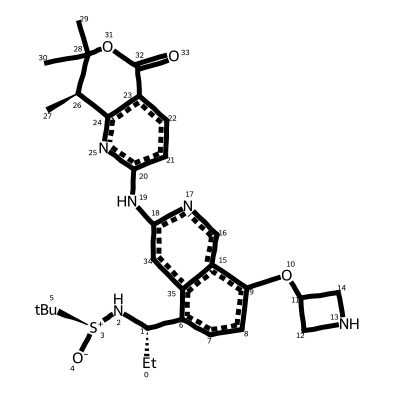 CC[C@H](N[S@@+]([O-])C(C)(C)C)c1ccc(OC2CNC2)c2cnc(Nc3ccc4c(n3)[C@@H](C)C(C)(C)OC4=O)cc12